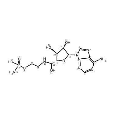 Nc1ncnc2c1ncn2[C@@H]1O[C@H](C(O)NCCOP(N)(=O)O)[C@@H](O)[C@H]1O